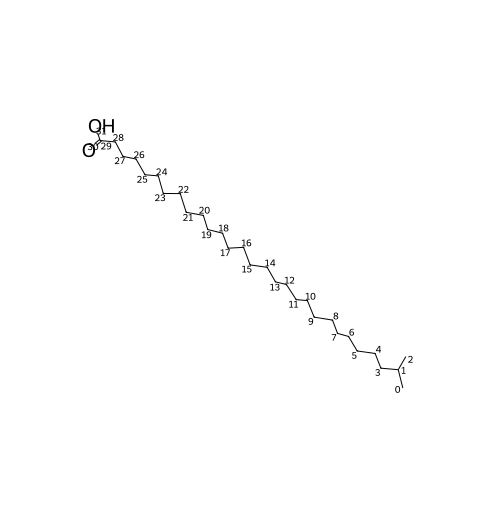 CC(C)CCCCCCCCCCCCCCCCCCCCCCCCCCC(=O)O